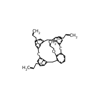 C=CCOc1c2cccc1Cc1cccc(c1OCC=C)Cc1cccc(c1OCC=C)Cc1cccc(c1OCC=C)C2